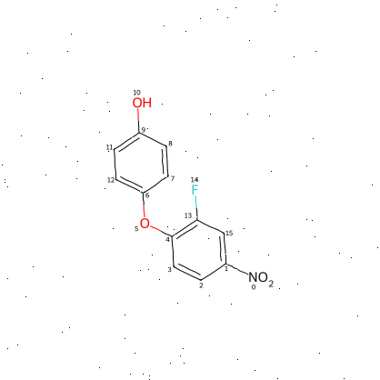 O=[N+]([O-])c1ccc(Oc2ccc(O)cc2)c(F)c1